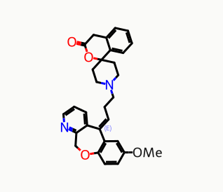 COc1ccc2c(c1)/C(=C/CCN1CCC3(CC1)OC(=O)Cc1ccccc13)c1cccnc1CO2